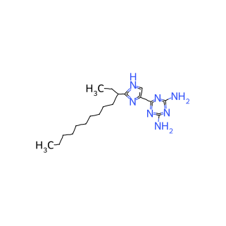 CCCCCCCCCCC(CC)c1nc(-c2nc(N)nc(N)n2)c[nH]1